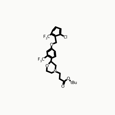 CC(C)(C)OC(=O)CCN1CCOC(c2ccc(OCc3c(Cl)cccc3C(F)(F)F)cc2C(F)(F)F)C1